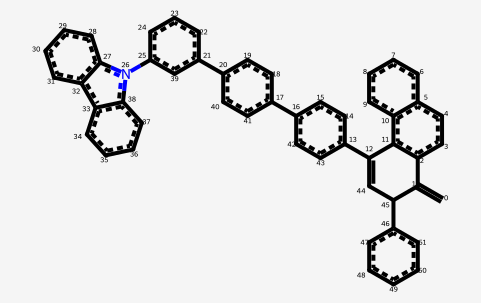 C=C1c2ccc3ccccc3c2C(c2ccc(-c3ccc(-c4cccc(-n5c6ccccc6c6ccccc65)c4)cc3)cc2)=CC1c1ccccc1